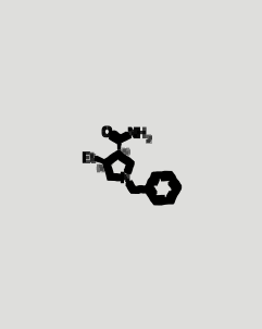 CC[C@@H]1CN(Cc2ccccc2)C[C@H]1C(N)=O